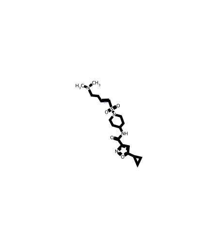 CN(C)CC/C=C/S(=O)(=O)N1CCC(NC(=O)c2cc(C3CC3)on2)CC1